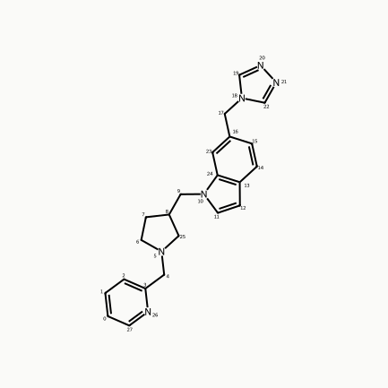 c1ccc(CN2CCC(Cn3ccc4ccc(Cn5cnnc5)cc43)C2)nc1